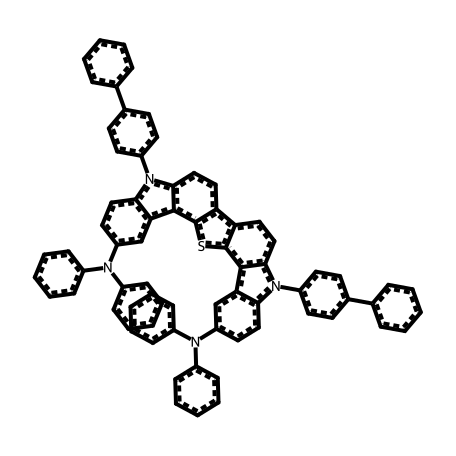 c1ccc(-c2ccc(-n3c4ccc(N(c5ccccc5)c5ccccc5)cc4c4c5sc6c(ccc7c6c6cc(N(c8ccccc8)c8ccccc8)ccc6n7-c6ccc(-c7ccccc7)cc6)c5ccc43)cc2)cc1